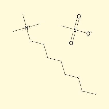 CCCCCCCC[N+](C)(C)C.CS(=O)(=O)[O-]